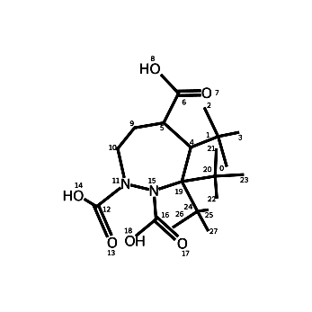 CC(C)(C)C1C(C(=O)O)CCN(C(=O)O)N(C(=O)O)C1(C(C)(C)C)C(C)(C)C